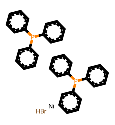 Br.[Ni].c1ccc(P(c2ccccc2)c2ccccc2)cc1.c1ccc(P(c2ccccc2)c2ccccc2)cc1